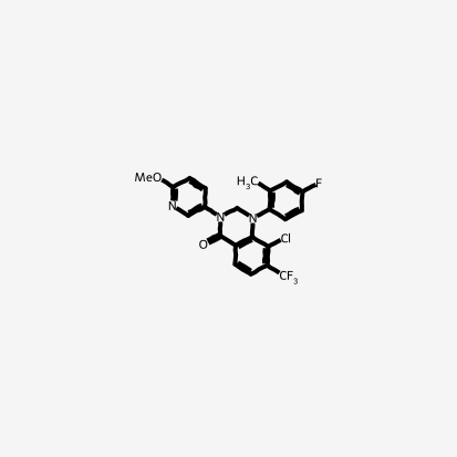 COc1ccc(N2CN(c3ccc(F)cc3C)c3c(ccc(C(F)(F)F)c3Cl)C2=O)cn1